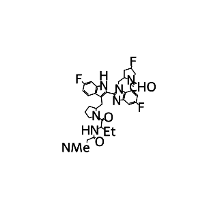 CCC(NC(=O)CNC)C(=O)N1CCCC1Cc1c(-c2nc3cc(F)ccc3n2CC2CC(F)CN2C=O)[nH]c2cc(F)ccc12